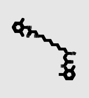 CCCN(CCCCCCCNCC(=O)Nc1c(C)cccc1C)CC(=O)Nc1c(C)cccc1C